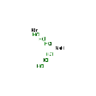 Cl.Cl.Cl.Cl.Cl.Cl.[NaH].[Rh]